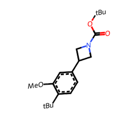 COc1cc(C2CN(C(=O)OC(C)(C)C)C2)ccc1C(C)(C)C